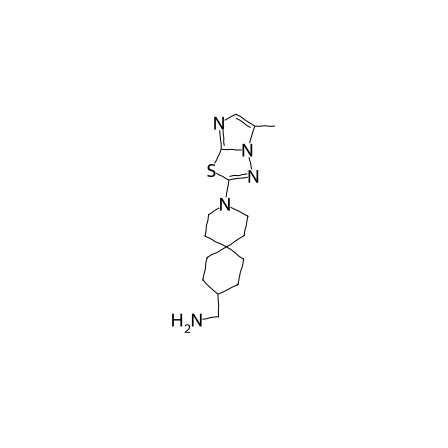 Cc1cnc2sc(N3CCC4(CCC(CN)CC4)CC3)nn12